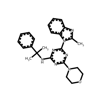 Cc1nc2ccccc2n1-c1nc(NC(C)(C)c2ccccc2)nc(N2CCOCC2)n1